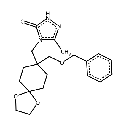 Cc1n[nH]c(=O)n1CC1(COCc2ccccc2)CCC2(CC1)OCCO2